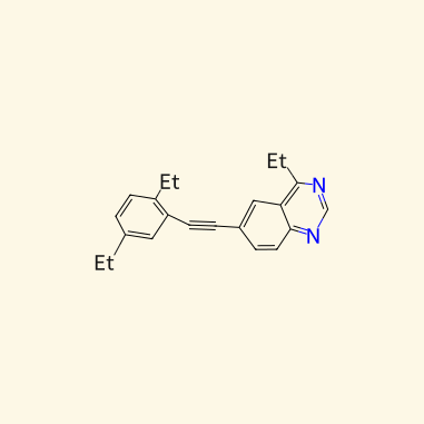 CCc1ccc(CC)c(C#Cc2ccc3ncnc(CC)c3c2)c1